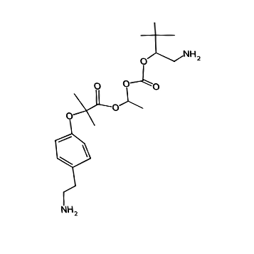 CC(OC(=O)OC(CN)C(C)(C)C)OC(=O)C(C)(C)Oc1ccc(CCN)cc1